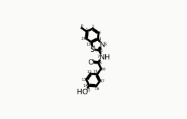 Cc1ccc2nc(NC(=O)Cc3ccc(O)cc3)sc2c1